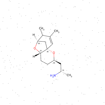 CC1=C[C@]23C[C@@H](O[C@H]2CC[C@H](C[C@H](C)N)O3)C1C